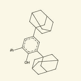 CC(C)c1cc(C23CC4CC(CC(C4)C2)C3)cc(C23CC4CC(CC(C4)C2)C3)c1O